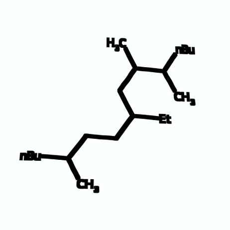 CCCCC(C)CCC(CC)CC(C)C(C)CCCC